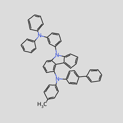 Cc1ccc(N(c2ccc(-c3ccccc3)cc2)c2cccc3c2c2ccccc2n3-c2cccc(N(c3ccccc3)c3ccccc3)c2)cc1